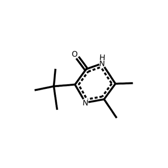 Cc1nc(C(C)(C)C)c(=O)[nH]c1C